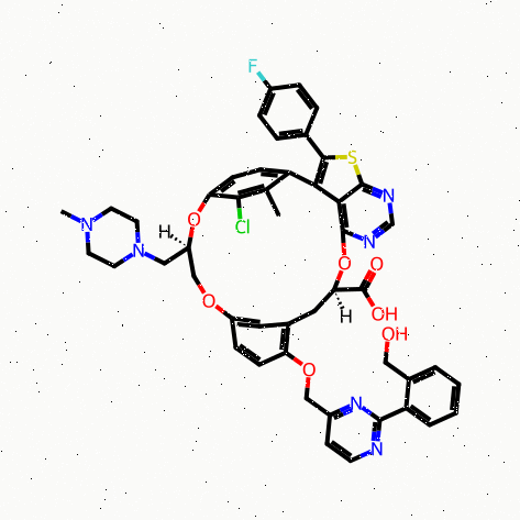 Cc1c2ccc(c1Cl)O[C@H](CN1CCN(C)CC1)COc1ccc(OCc3ccnc(-c4ccccc4CO)n3)c(c1)C[C@H](C(=O)O)Oc1ncnc3sc(-c4ccc(F)cc4)c-2c13